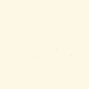 CC12CC1(NC(=O)c1c(O)c3cccnc3n(Cc3ccc(F)cc3)c1=O)C2